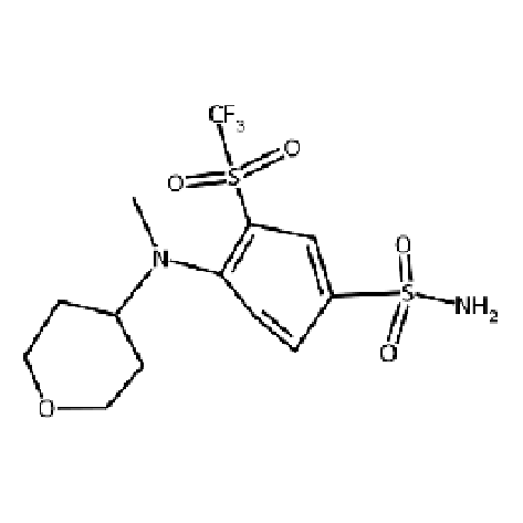 CN(c1ccc(S(N)(=O)=O)cc1S(=O)(=O)C(F)(F)F)C1CCOCC1